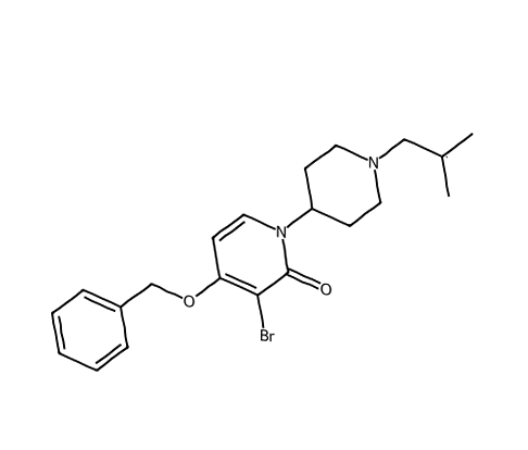 C[C](C)CN1CCC(n2ccc(OCc3ccccc3)c(Br)c2=O)CC1